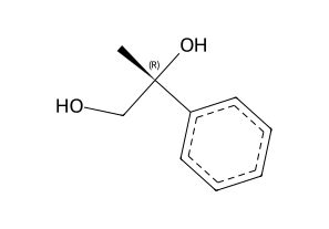 C[C@](O)(CO)c1ccccc1